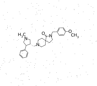 COc1ccc(CN2CCC3(CCN(C[C@H]4CN(C)CC4c4ccccc4)CC3)C2=O)cc1